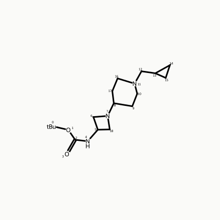 CC(C)(C)OC(=O)NC1CN(C2CCN(CC3CC3)CC2)C1